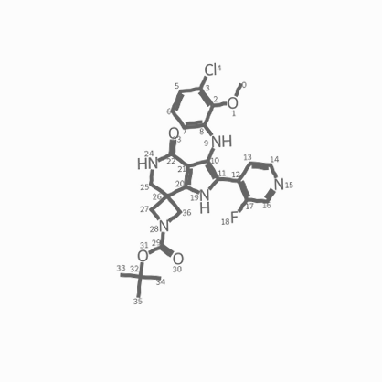 COc1c(Cl)cccc1Nc1c(-c2ccncc2F)[nH]c2c1C(=O)NCC21CN(C(=O)OC(C)(C)C)C1